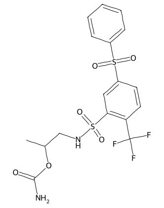 CC(CNS(=O)(=O)c1cc(S(=O)(=O)c2ccccc2)ccc1C(F)(F)F)OC(N)=O